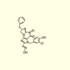 CCN1C(=O)c2c(nc(/C=N/O)n2Cc2ccc(O)c(Cl)c2)N2C[C@@H](Cc3ccccc3)N=C12